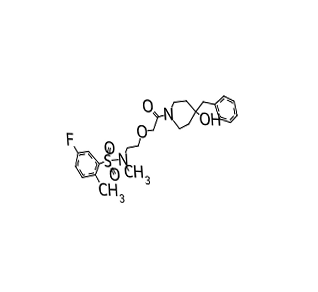 Cc1ccc(F)cc1S(=O)(=O)N(C)CCOCC(=O)N1CCC(O)(Cc2ccccc2)CC1